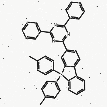 Cc1ccc(S2(c3ccc(C)cc3)c3ccccc3-c3ccc(-c4nc(-c5ccccc5)nc(-c5ccccc5)n4)cc32)cc1